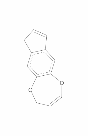 C1=COc2cc3c(cc2OC1)CC=C3